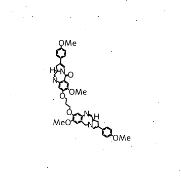 COc1ccc(C2=CN3Cc4cc(OC)c(OCCCOc5cc6c(cc5OC)C(=O)N5C=C(c7ccc(OC)cc7)C[C@H]5C=N6)cc4N=C[C@@H]3C2)cc1